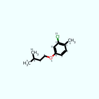 Cc1ccc(OCCC(C)C)cc1Cl